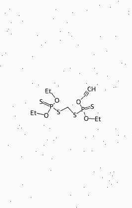 C#COP(=S)(OCC)SCSP(=S)(OCC)OCC